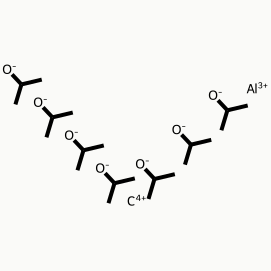 CC(C)[O-].CC(C)[O-].CC(C)[O-].CC(C)[O-].CC(C)[O-].CC(C)[O-].CC(C)[O-].[Al+3].[C+4]